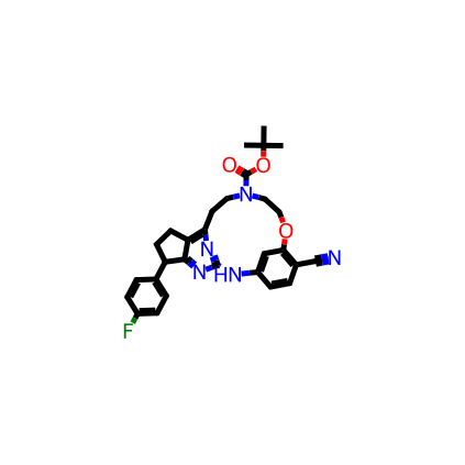 CC(C)(C)OC(=O)N1CCOc2cc(ccc2C#N)Nc2nc(c3c(n2)C(c2ccc(F)cc2)CC3)CC1